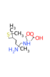 CC(N)(/C=C/C1CSC1(C)C)CN[C@H](C=O)CC(=O)O